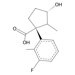 Cc1c(F)cccc1[C@@]1(C(=O)O)CC[C@H](O)C1C